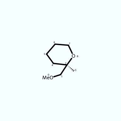 COC[C@@]1(C)CCCCO1